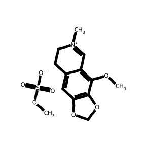 COS(=O)(=O)[O-].COc1c2c(cc3c1OCO3)CC[N+](C)=C2